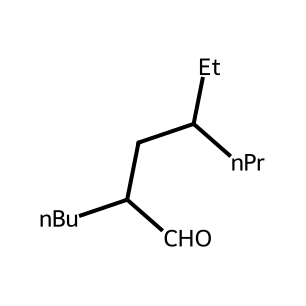 CCCCC(C=O)CC(CC)CCC